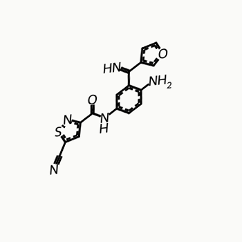 N#Cc1cc(C(=O)Nc2ccc(N)c(C(=N)c3ccoc3)c2)ns1